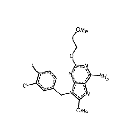 COCCOc1nc(N)c2nc(OC)n(Cc3ccc(I)c(Cl)c3)c2n1